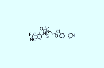 Cc1c(N2C(=O)C(C)(C)N(CCCOc3ccc(-c4ccncc4)cc3Cl)C2=S)ccc(C#N)c1C(F)(F)F